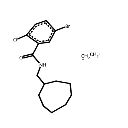 O=C(NC[C]1CCCCCCC1)c1cc(Br)ccc1Cl.[CH2].[CH2]